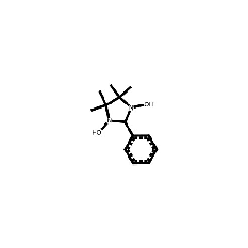 CC1(C)N(O)C(c2ccccc2)N(O)C1(C)C